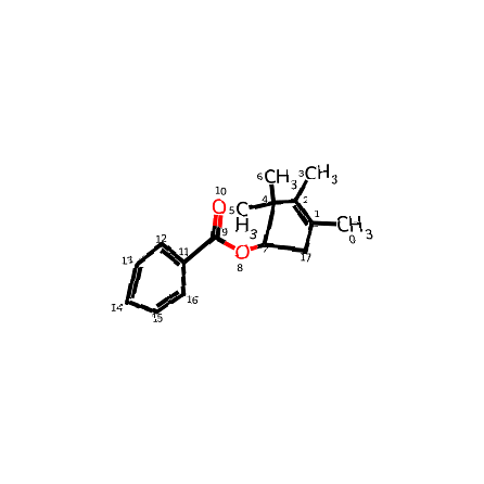 CC1=C(C)C(C)(C)C(OC(=O)c2ccccc2)C1